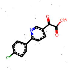 O=C(O)C(=O)c1ccc(-c2ccc(F)cc2)nc1